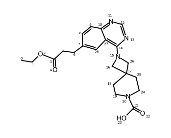 CCOC(=O)CCc1ccc2ncnc(N3CC4(CCN(C(=O)O)CC4)C3)c2c1